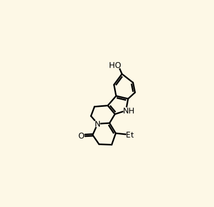 CCC1=C2c3[nH]c4ccc(O)cc4c3CCN2C(=O)CC1